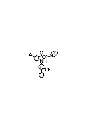 O=C(OCCN1CCOCC1)c1cc(C2CC2)ccc1Nc1cnc(-c2ccccc2)c(C(F)(F)F)c1